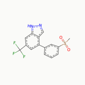 CS(=O)(=O)c1cccc(-c2cc(C(F)(F)F)cc3[nH]ncc23)c1